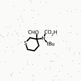 CC(C)(C)N(C(=O)O)C1(C=O)CCCSC1